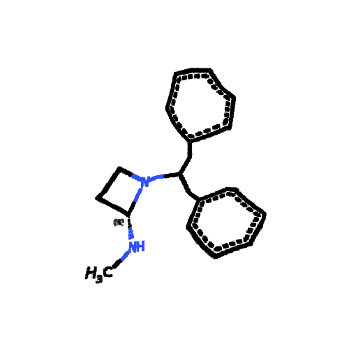 CN[C@@H]1CCN1C(c1ccccc1)c1ccccc1